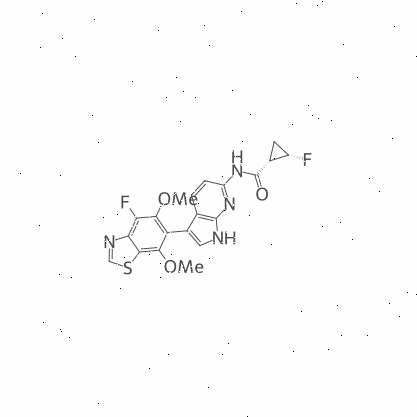 COc1c(-c2c[nH]c3nc(NC(=O)[C@@H]4C[C@@H]4F)ccc23)c(OC)c2scnc2c1F